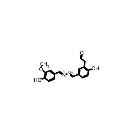 COc1cc(/C=N/N=C/c2ccc(O)c(CC=O)c2)ccc1O